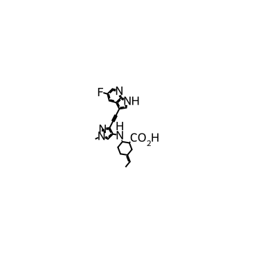 C/C=C1\CC[C@H](Nc2cn(C)nc2C#Cc2c[nH]c3ncc(F)cc23)[C@@H](C(=O)O)C1